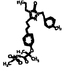 CCCn1c(CCCc2ccc(OC(C)(C)C(=O)NS(C)(=O)=O)cc2)nn(Cc2ccc(C)cc2)c1=O